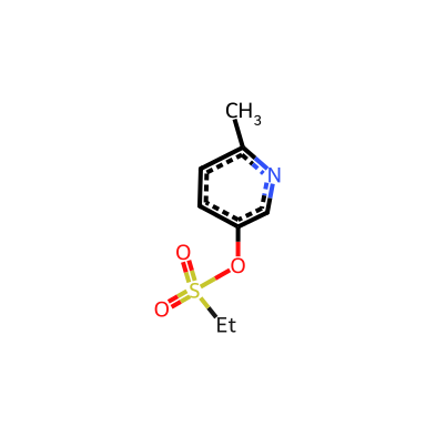 CCS(=O)(=O)Oc1ccc(C)nc1